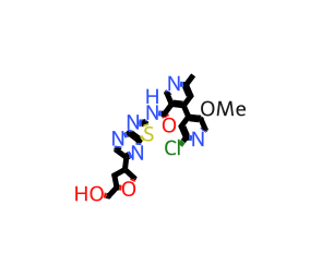 COc1cnc(Cl)cc1-c1cc(C)ncc1C(=O)Nc1nc2ncc(C3COC(CO)C3)nc2s1